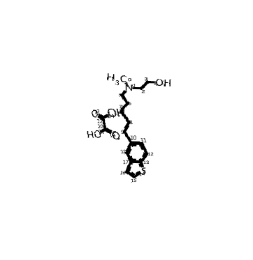 CN(CCO)CCCCCc1ccc2sccc2c1.O=C(O)C(=O)O